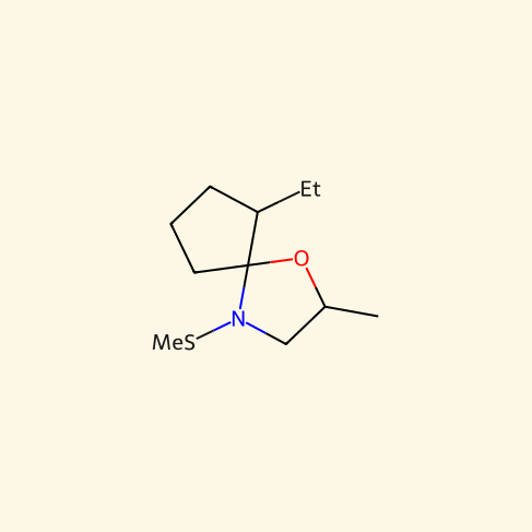 CCC1CCCC12OC(C)CN2SC